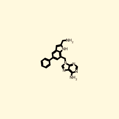 NCc1cc2cc(-c3ccccc3)cc(Cn3cnc4c(N)ncnc43)c2[nH]1